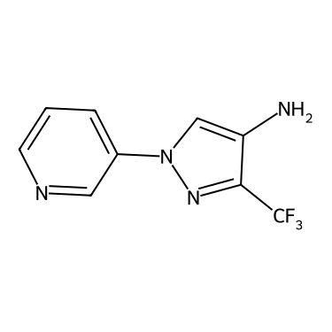 Nc1cn(-c2cccnc2)nc1C(F)(F)F